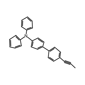 CC#Cc1ccc(-c2ccc(N(c3ccccc3)c3ccccc3)cc2)cc1